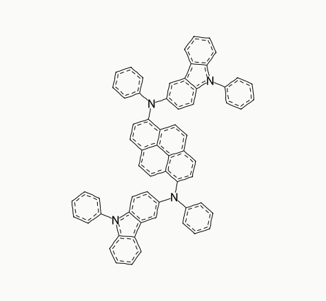 c1ccc(N(c2ccc3c(c2)c2ccccc2n3-c2ccccc2)c2ccc3ccc4c(N(c5ccccc5)c5ccc6c(c5)c5ccccc5n6-c5ccccc5)ccc5ccc2c3c54)cc1